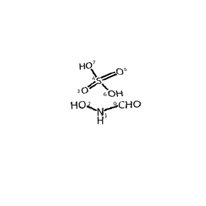 O=CNO.O=S(=O)(O)O